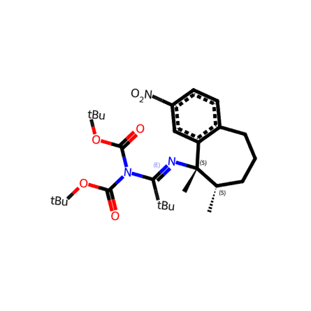 C[C@H]1CCCc2ccc([N+](=O)[O-])cc2[C@@]1(C)/N=C(/N(C(=O)OC(C)(C)C)C(=O)OC(C)(C)C)C(C)(C)C